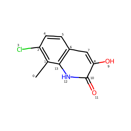 Cc1c(Cl)ccc2cc(O)c(=O)[nH]c12